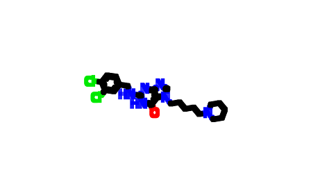 O=c1[nH]c(NCc2ccc(Cl)c(Cl)c2)nc2ncn(CCCCCN3CCCCC3)c12